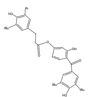 CC(C)c1cc(CCC(=O)Oc2ccc(C(=O)c3cc(C(C)(C)C)c(O)c(C(C)(C)C)c3)c(O)c2)cc(C(C)(C)C)c1O